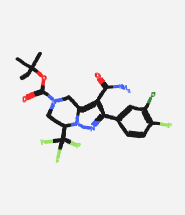 CC(C)(C)OC(=O)N1Cc2c(C(N)=O)c(-c3ccc(F)c(Cl)c3)nn2C(C(F)(F)F)C1